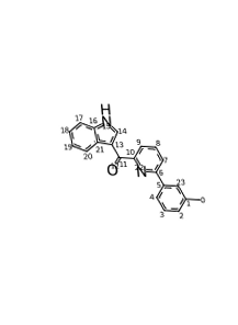 Cc1cccc(-c2cccc(C(=O)c3c[nH]c4ccccc34)n2)c1